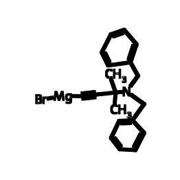 CC(C)(C#[C][Mg][Br])N(Cc1ccccc1)Cc1ccccc1